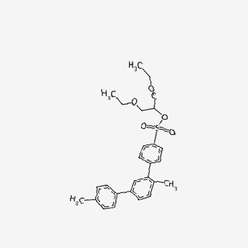 CCOCC(COCC)OS(=O)(=O)c1ccc(-c2cc(-c3ccc(C)cc3)ccc2C)cc1